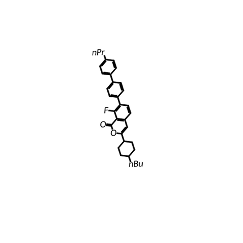 CCCCC1CCC(c2cc3ccc(-c4ccc(-c5ccc(CCC)cc5)cc4)c(F)c3c(=O)o2)CC1